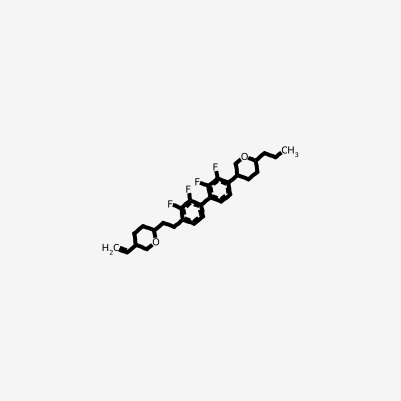 C=CC1CCC(CCc2ccc(-c3ccc(C4CCC(CCC)OC4)c(F)c3F)c(F)c2F)OC1